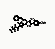 COc1ccc(C(O)C(=O)N(CCCc2ccccc2)Cc2nc(C(=O)NS(=O)(=O)N(C)C)c(C)s2)c(F)c1